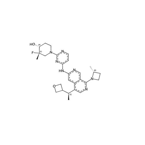 C[C@H](c1cnc(N2CC[C@H]2C)c2cnc(Nc3ccnc(N4CC[C@@H](O)[C@@](C)(F)C4)n3)cc12)C1COC1